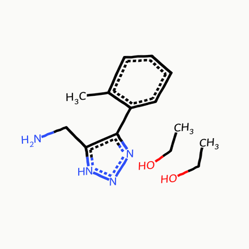 CCO.CCO.Cc1ccccc1-c1nn[nH]c1CN